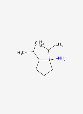 CC(C)C1CCCC1(N)C(C)C